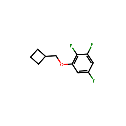 Fc1[c]c(OCC2CCC2)c(F)c(F)c1